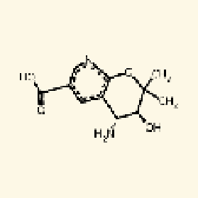 CC1(C)Oc2ncc(C(=O)O)cc2[C@@H](N)[C@@H]1O